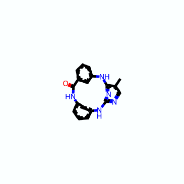 Cc1cnc2nc1Nc1cccc(c1)C(=O)Nc1cccc(c1)N2